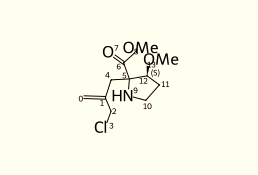 C=C(CCl)CC1(C(=O)OC)NCC[C@@H]1OC